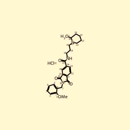 COc1ccccc1CN1C(=O)c2ccc(C(=O)NCCCN3CCCCC3C)cc2C1=O.Cl